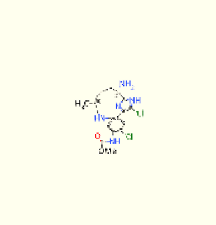 COC(=O)Nc1cc2c(cc1Cl)-c1nc([nH]c1Cl)[C@@H](N)CCC[C@@H](C)CN2